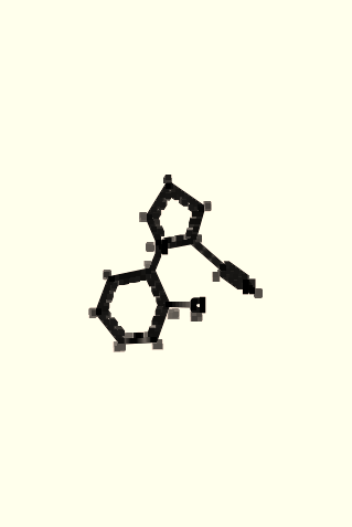 N#Cc1cccn1-c1ccccc1Cl